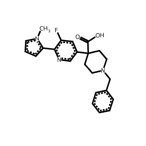 Cn1cccc1-c1ncc(C2(C(=O)O)CCN(Cc3ccccc3)CC2)cc1F